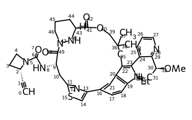 C#C[C@@H]1CCN1C(=O)N[C@H]1Cc2nc(cs2)-c2ccc3c(c2)c(c(-c2cccnc2[C@H](C)OC)n3CC)CC(C)(C)COC(=O)[C@@H]2CCCN(N2)C1=O